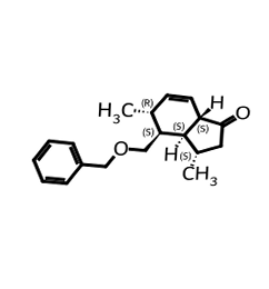 C[C@@H]1C=C[C@@H]2C(=O)C[C@H](C)[C@H]2[C@H]1COCc1ccccc1